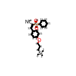 C[Si](C)(C)CCCOc1ccc(C=C(C#N)S(=O)(=O)c2ccccc2)cc1